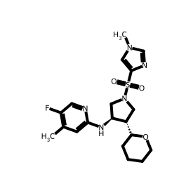 Cc1cc(N[C@H]2CN(S(=O)(=O)c3cn(C)cn3)C[C@@H]2C2CCCCO2)ncc1F